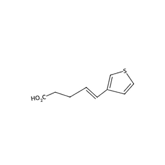 O=C(O)CCC=Cc1ccsc1